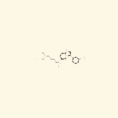 CCN(CC)CCCC(C)Nc1ccc2ncc(-c3cccc(Cl)c3)n2n1